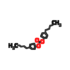 CCCCCc1ccc(OC(=O)Oc2ccc(CCCCC)cc2)cc1